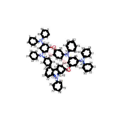 c1ccc(N(c2ccccc2)c2cc3c4c(c2)N(c2ccccc2)c2ccccc2B4c2cc4c(cc2O3)N(c2ccccc2)c2cc(N(c3ccccc3)c3ccccc3)cc3c2B4c2cc4c5ccccc5n(-c5ccccc5)c4cc2O3)cc1